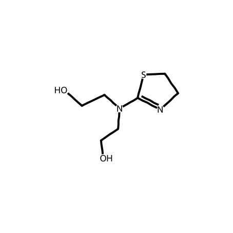 OCCN(CCO)C1=NCCS1